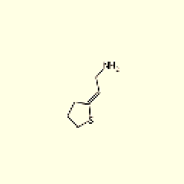 NC/C=C1\CCCS1